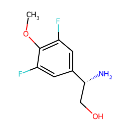 COc1c(F)cc([C@H](N)CO)cc1F